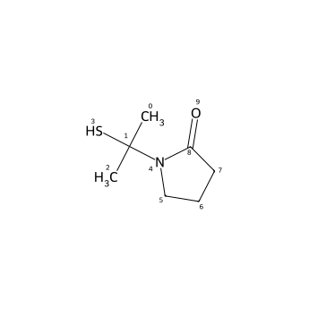 CC(C)(S)N1CCCC1=O